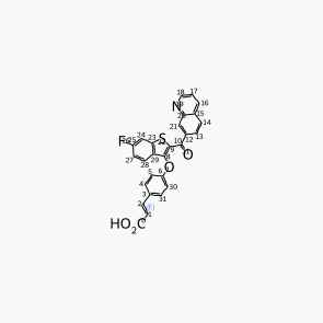 O=C(O)/C=C/c1ccc(Oc2c(C(=O)c3ccc4cccnc4c3)sc3cc(F)ccc23)cc1